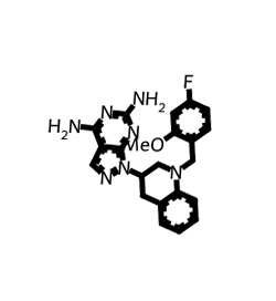 COc1cc(F)ccc1CN1CC(n2ncc3c(N)nc(N)nc32)Cc2ccccc21